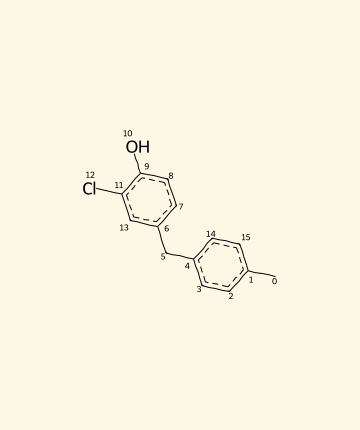 Cc1ccc(Cc2ccc(O)c(Cl)c2)cc1